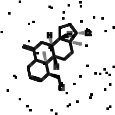 C=C1C[C@H]2[C@@H]3CC[C@H](CC)[C@@]3(C)CC[C@@H]2[C@]2(C)C1CC=C[C@@H]2CCl